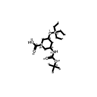 CC[Si](CC)(CC)OC1CC(NC(=O)OC(C)(C)C)CN(C(=O)O)C1